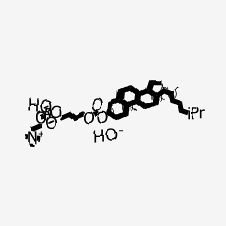 CC(C)CCC[C@@H](C)[C@H]1CCC2C3CC=C4C[C@@H](OC(=O)OCCCCOP(=O)(O)OCC[N+](C)(C)C)CC[C@]4(C)C3CC[C@@]21C.[OH-]